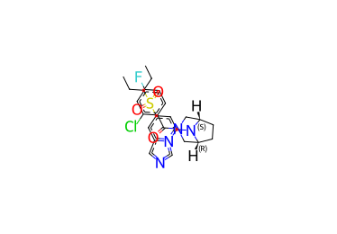 CCC(CC)S(=O)(=O)c1cc(N2[C@@H]3CC[C@H]2CN(C(=O)c2ccc(F)cc2Cl)C3)n2cncc2c1